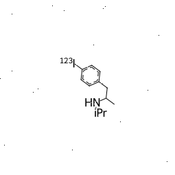 CC(C)NC(C)Cc1ccc([123I])cc1